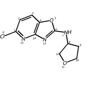 Clc1ccc2oc(NC3CCOC3)nc2n1